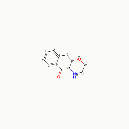 O=Cc1ccccc1CC1CNCCO1